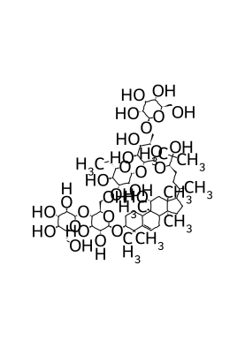 CC[C@@H]1O[C@H](O[C@H]2[C@H](O[C@H](CC[C@@H](C)C3CC[C@@]4(C)C5CC=C6C(CC[C@H](O[C@@H]7O[C@H](CO)[C@@H](O[C@@H]8O[C@H](CO)[C@@H](O)[C@H](O)[C@H]8O)[C@H](O)[C@H]7O)C6(C)C)[C@]5(C)[C@H](O)C[C@]34C)C(C)(C)O)O[C@H](CO[C@@H]3O[C@H](CO)[C@@H](O)[C@H](O)[C@H]3O)[C@@H](O)[C@@H]2O)[C@@H](O)[C@H](O)[C@H]1O